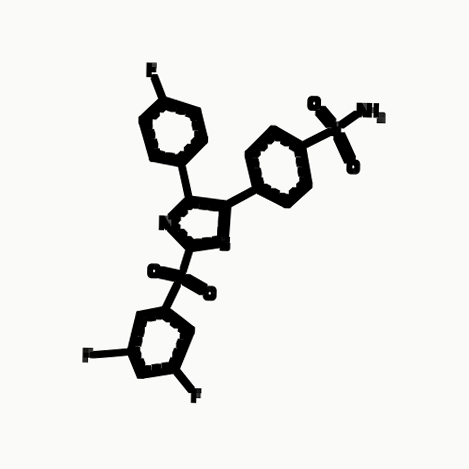 NS(=O)(=O)c1ccc(-c2sc(S(=O)(=O)c3cc(F)cc(F)c3)nc2-c2ccc(F)cc2)cc1